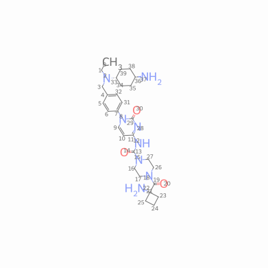 CCN(Cc1ccc(-n2ccc(NC(=O)N3CCN(C(=O)C4(N)CCC4)CC3)nc2=O)cc1)[C@H]1CC[C@H](N)CC1